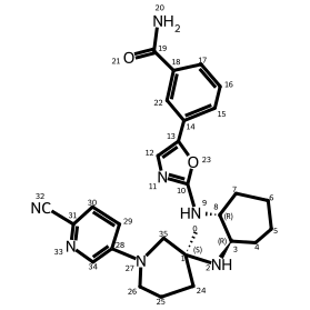 C[C@]1(N[C@@H]2CCCC[C@H]2Nc2ncc(-c3cccc(C(N)=O)c3)o2)CCCN(c2ccc(C#N)nc2)C1